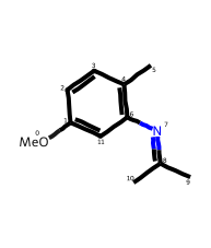 COc1ccc(C)c(N=C(C)C)c1